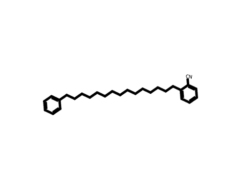 N#Cc1ccccc1CCCCCCCCCCCCCCCc1ccccc1